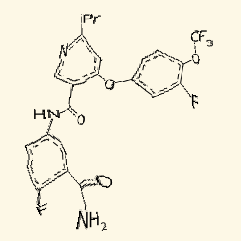 CC(C)c1cc(Oc2ccc(OC(F)(F)F)c(F)c2)c(C(=O)Nc2ccc(F)c(C(N)=O)c2)cn1